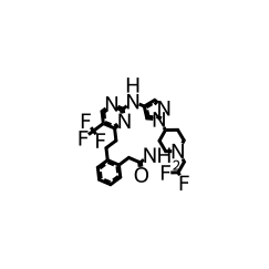 NC(=O)Cc1ccccc1CCc1nc(Nc2cnn(C3CCN(CC(F)F)CC3)c2)ncc1C(F)(F)F